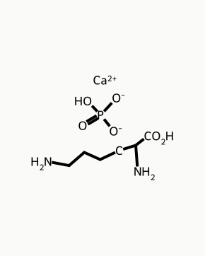 NCCCCC(N)C(=O)O.O=P([O-])([O-])O.[Ca+2]